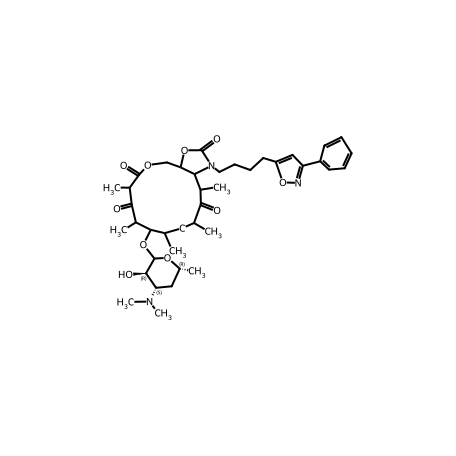 CC1CC(C)C(OC2O[C@H](C)C[C@H](N(C)C)[C@H]2O)C(C)C(=O)C(C)C(=O)OCC2OC(=O)N(CCCCc3cc(-c4ccccc4)no3)C2C(C)C1=O